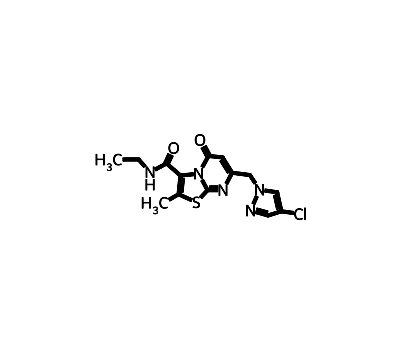 CCNC(=O)c1c(C)sc2nc(Cn3cc(Cl)cn3)cc(=O)n12